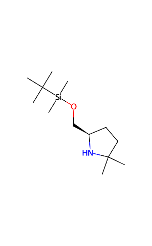 CC1(C)CC[C@H](CO[Si](C)(C)C(C)(C)C)N1